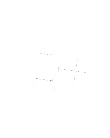 C=CC.C=CC(=O)N[N+](C)(C)C.Cl.Cl